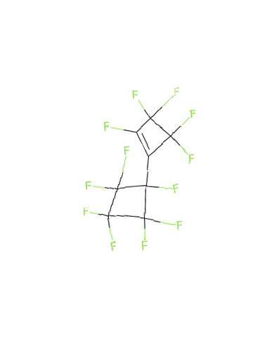 FC1=C(C2(F)C(F)(F)C(F)(F)C2(F)F)C(F)(F)C1(F)F